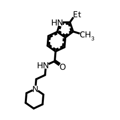 CCc1[nH]c2ccc(C(=O)NCCN3CCCCC3)cc2c1C